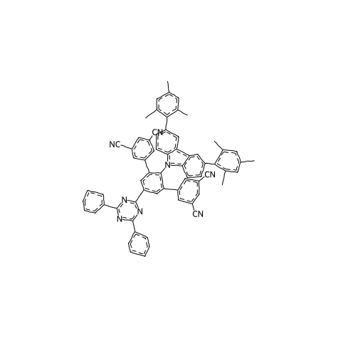 Cc1cc(C)c(-c2ccc3c(c2)c2cc(-c4c(C)cc(C)cc4C)ccc2n3-c2c(-c3cc(C#N)cc(C#N)c3)cc(-c3nc(-c4ccccc4)nc(-c4ccccc4)n3)cc2-c2cc(C#N)cc(C#N)c2)c(C)c1